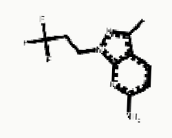 Cc1nn(CCC(F)(F)F)c2nc(N)ccc12